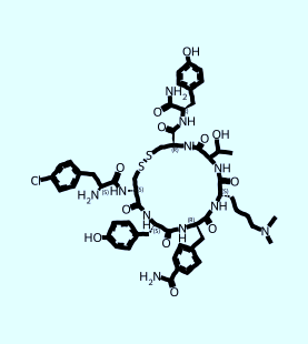 CC(O)C1NC(=O)[C@H](CCCCN(C)C)NC(=O)[C@@H](Cc2ccc(C(N)=O)cc2)NC(=O)[C@H](Cc2ccc(O)cc2)NC(=O)[C@H](NC(=O)[C@@H](N)Cc2ccc(Cl)cc2)CSSC[C@@H](C(=O)N[C@H](Cc2ccc(O)cc2)C(N)=O)NC1=O